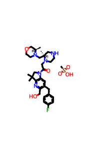 CS(=O)(=O)O.C[C@@H]1COCCN1C[C@@]1(C)CNCCN1CC(=O)N1CC(C)(C)c2nc(CO)c(Cc3ccc(F)cc3)cc21